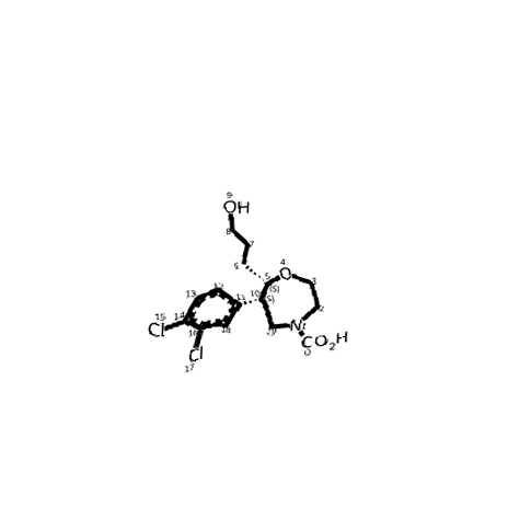 O=C(O)N1CCO[C@@H](CCCO)[C@@H](c2ccc(Cl)c(Cl)c2)C1